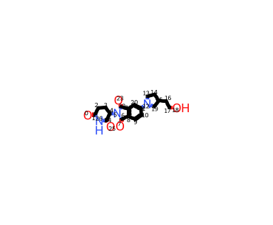 O=C1CCC(N2C(=O)c3ccc(N4CCC(CCO)C4)cc3C2=O)C(=O)N1